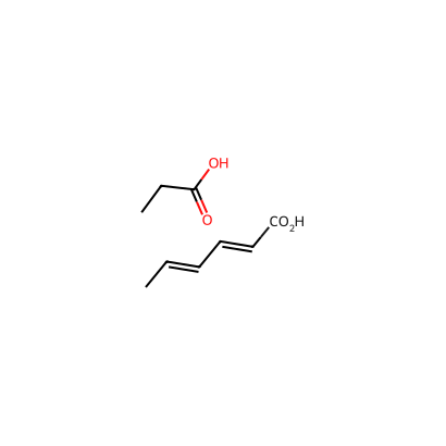 C/C=C/C=C/C(=O)O.CCC(=O)O